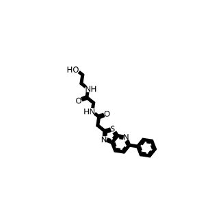 O=C(CNC(=O)Cc1nc2ccc(-c3ccccc3)nc2s1)NCCO